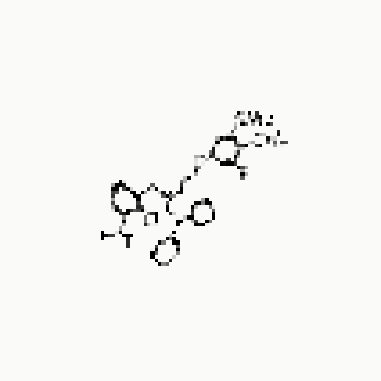 CSc1cc(OCCCN(Cc2cccc(C(F)F)c2Cl)CC(C2=CCCC=C2)c2ccccc2)cc(F)c1C